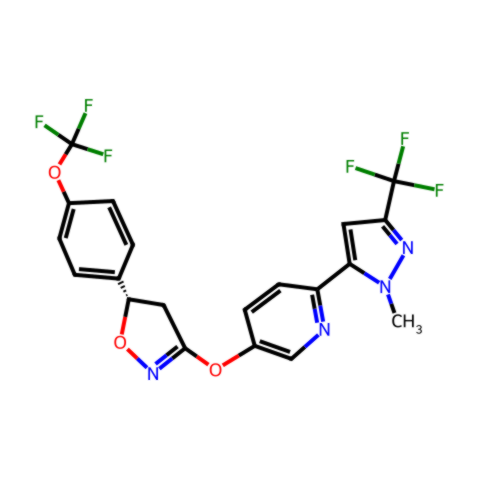 Cn1nc(C(F)(F)F)cc1-c1ccc(OC2=NO[C@H](c3ccc(OC(F)(F)F)cc3)C2)cn1